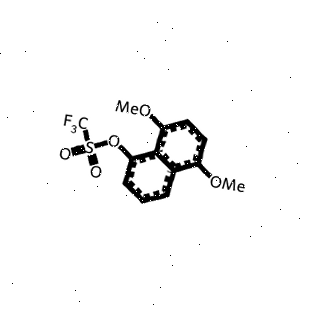 COc1ccc(OC)c2c(OS(=O)(=O)C(F)(F)F)cccc12